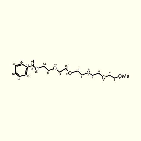 COCCOCCOCCOCCOCCONc1ccccc1